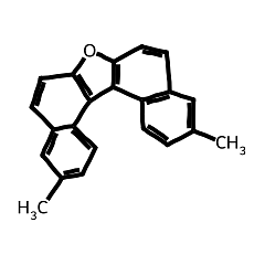 Cc1ccc2c(ccc3oc4ccc5cc(C)ccc5c4c32)c1